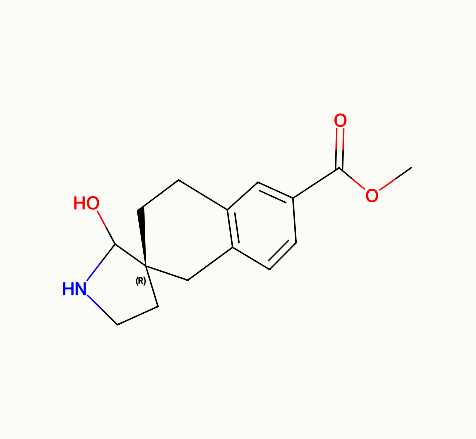 COC(=O)c1ccc2c(c1)CC[C@]1(CCNC1O)C2